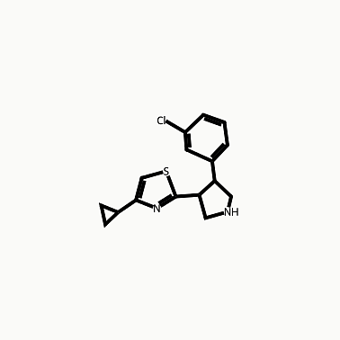 Clc1cccc(C2CNCC2c2nc(C3CC3)cs2)c1